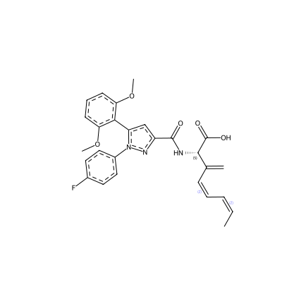 C=C(/C=C\C=C/C)[C@H](NC(=O)c1cc(-c2c(OC)cccc2OC)n(-c2ccc(F)cc2)n1)C(=O)O